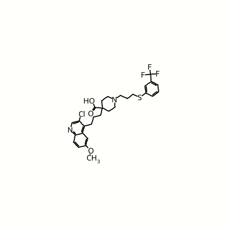 COc1ccc2ncc(Cl)c(CCCC3(C(=O)O)CCN(CCCSc4cccc(C(F)(F)F)c4)CC3)c2c1